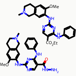 CCOC(=O)c1cnc(Nc2cc3c(cc2OC)CCN(C)C3)nc1Nc1ccccc1.COc1cc2c(cc1Nc1ncc(C(=O)NN)c(Nc3ccccc3)n1)CN(C)CC2